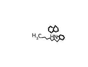 CCCCCCC1Cc2ccccc2N1.c1ccc2ccccc2c1